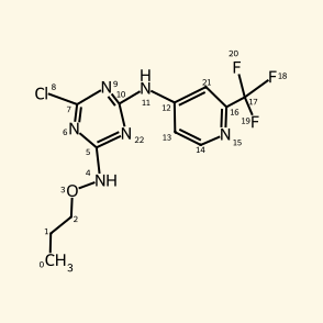 CCCONc1nc(Cl)nc(Nc2ccnc(C(F)(F)F)c2)n1